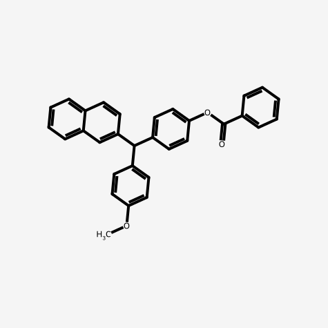 COc1ccc(C(c2ccc(OC(=O)c3ccccc3)cc2)c2ccc3ccccc3c2)cc1